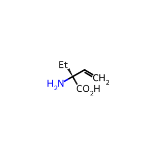 C=C[C@](N)(CC)C(=O)O